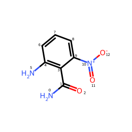 NC(=O)c1c(N)cccc1[N+](=O)[O-]